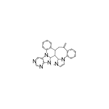 C=C1CC2c3ccccc3N3c4cncnc4N(C)C3C2C2N(C)C=CN2c2ccccc21